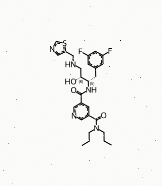 CCCN(CCC)C(=O)c1cncc(C(=O)N[C@@H](Cc2cc(F)cc(F)c2)[C@H](O)CNCc2cncs2)c1